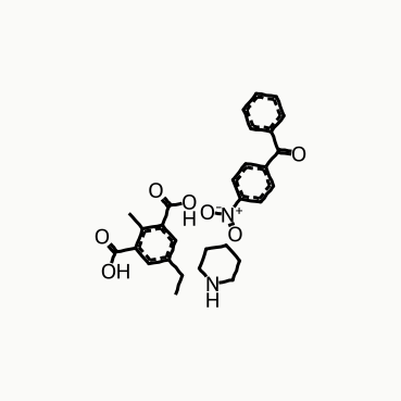 C1CCNCC1.CCc1cc(C(=O)O)c(C)c(C(=O)O)c1.O=C(c1ccccc1)c1ccc([N+](=O)[O-])cc1